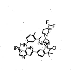 CNC(C)c1cc(Nc2nc(-c3ccc4c(c3)N([C@H]3C[C@@H](N5CC[C@@H](C(F)F)C5)C3)C(=O)C4(C)C)cc3ncn(C(C)C)c23)ccc1C